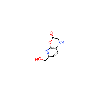 O=C1CNc2ccc(CO)nc2O1